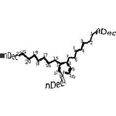 CCCCCCCCCCCCCCCCCc1cc[n+](CCCCCCCCCC)cc1CCCCCCCCCCCCCCCCC